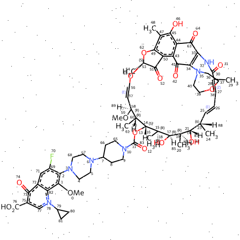 COc1c(N2CCN(C3CCN(C(=O)O[C@H]4[C@H](C)[C@H](O)[C@H](C)[C@@H](O)[C@@H](C)/C=C/C=C(/C)C(=O)NC5=C(N6CCOCC6)C(=O)c6c(c(O)c(C)c7c6C(=O)[C@@](C)(O/C=C/[C@H](OC)[C@H]4C)O7)C5=O)CC3)CC2)c(F)cc2c(=O)c(C(=O)O)cn(C3CC3)c12